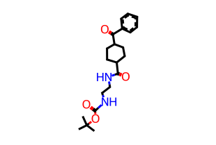 CC(C)(C)OC(=O)NCCNC(=O)C1CCC(C(=O)c2ccccc2)CC1